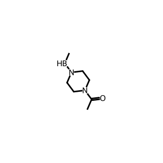 CBN1CCN(C(C)=O)CC1